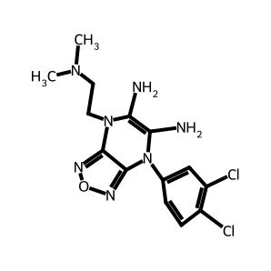 CN(C)CCN1C(N)=C(N)N(c2ccc(Cl)c(Cl)c2)c2nonc21